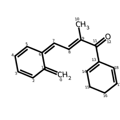 C=c1cccc/c1=C/C=C(\C)C(=O)C1=CCCC=C1